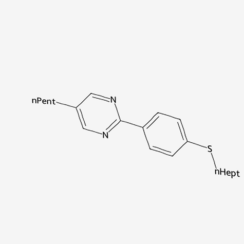 CCCCCCCSc1ccc(-c2ncc(CCCCC)cn2)cc1